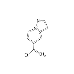 C=C(CC)c1ccn2nccc2c1